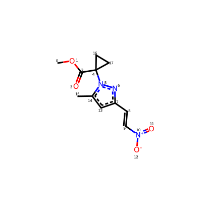 COC(=O)C1(n2nc(C=C[N+](=O)[O-])cc2C)CC1